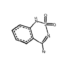 [N]C1=NS(=O)(=O)Nc2ccccc21